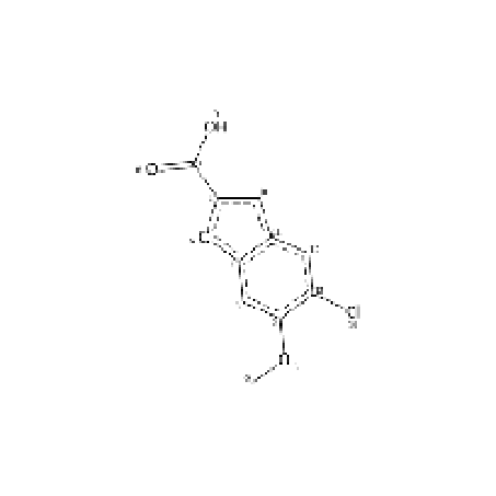 COc1cc2oc(C(=O)O)cc2cc1Cl